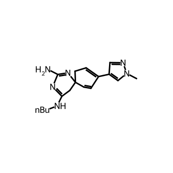 CCCCNC1=NC(N)=NC2(C=CC(c3cnn(C)c3)=CC2)C1